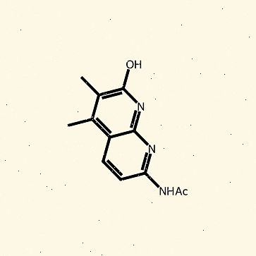 CC(=O)Nc1ccc2c(C)c(C)c(O)nc2n1